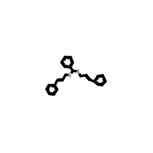 C(=Cc1ccccc1)CSC(SCC=Cc1ccccc1)c1ccccc1